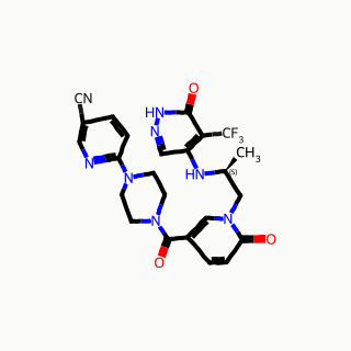 C[C@@H](Cn1cc(C(=O)N2CCN(c3ccc(C#N)cn3)CC2)ccc1=O)Nc1cn[nH]c(=O)c1C(F)(F)F